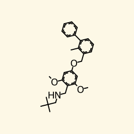 COc1cc(OCc2cccc(-c3ccccc3)c2C)cc(OC)c1CNCC(C)(C)C